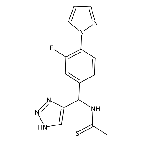 CC(=S)NC(c1ccc(-n2cccn2)c(F)c1)c1c[nH]nn1